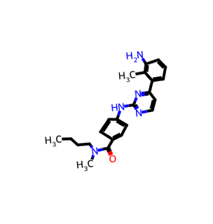 CCCCN(C)C(=O)c1ccc(Nc2nccc(-c3cccc(N)c3C)n2)cc1